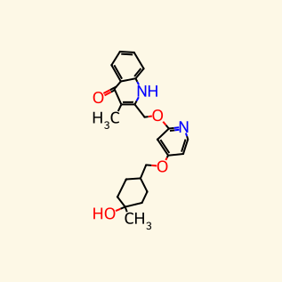 Cc1c(COc2cc(OCC3CCC(C)(O)CC3)ccn2)[nH]c2ccccc2c1=O